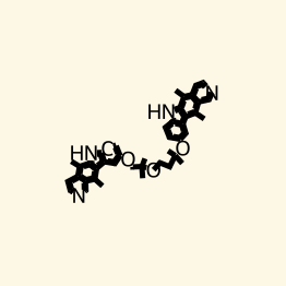 Cc1c2ccncc2c(C)c2c1[nH]c1ccc(OCC(C)(C)OCCC(C)(C)Oc3ccc4[nH]c5c(C)c6ccncc6c(C)c5c4c3)cc12